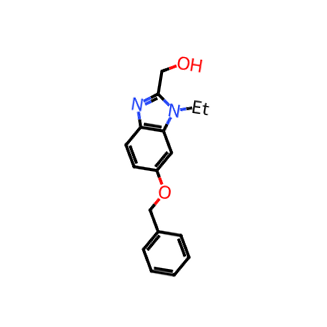 CCn1c(CO)nc2ccc(OCc3ccccc3)cc21